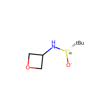 CC(C)(C)[S@+]([O-])NC1COC1